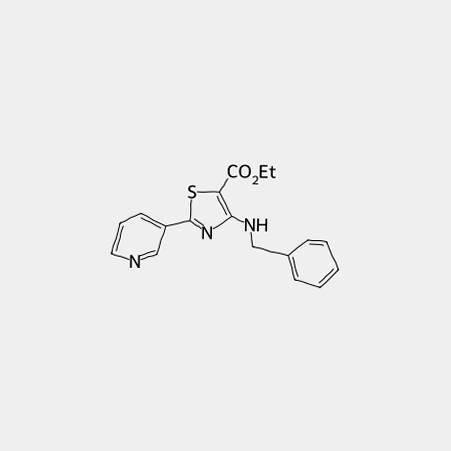 CCOC(=O)c1sc(-c2cccnc2)nc1NCc1ccccc1